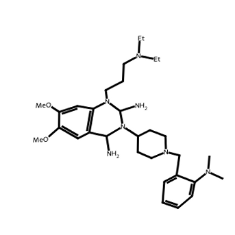 CCN(CC)CCCN1c2cc(OC)c(OC)cc2C(N)N(C2CCN(Cc3ccccc3N(C)C)CC2)C1N